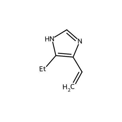 C=Cc1nc[nH]c1CC